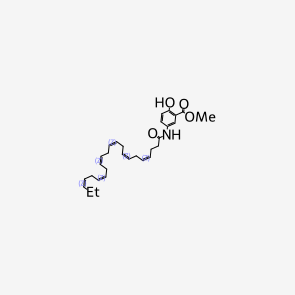 CC/C=C\C/C=C\C/C=C\C/C=C\C/C=C\C/C=C\CCC(=O)Nc1ccc(O)c(C(=O)OC)c1